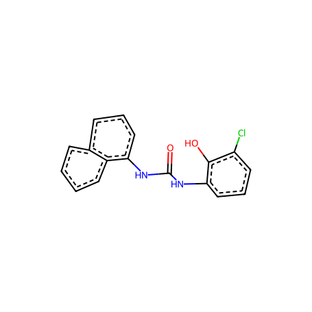 O=C(Nc1cccc(Cl)c1O)Nc1cccc2ccccc12